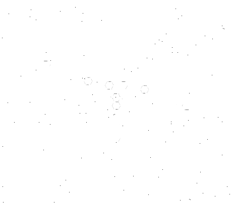 C=CCCOCCOc1ccc2nc3c(nc2c1)C1C=C(OCc2ccc(OCCCCCCOC(=O)C=C)cc2)C=CC1c1ccc(OCc2ccc(OCCCCCCOC(=O)C=C)cc2)cc1-3